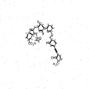 Cn1ncc(C#Cc2ccc(COc3cccc(-c4cc(F)c(Cc5nc6ccc(C(=O)O)cc6n5C[C@@H]5CCO5)cc4F)n3)c(F)c2)c1Cl